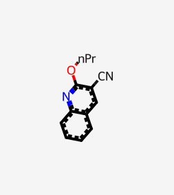 CCCOc1nc2ccccc2cc1C#N